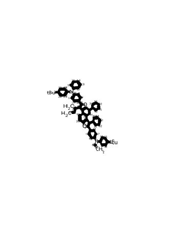 C=CC(=C)c1c(-c2ccc(N(c3ccccc3)c3ccc(C(C)(C)C)cc3)cc2)oc2c(-c3ccccc3)cc3c(ccc4oc(-c5ccc(N(C=C)c6ccc(C(C)(C)C)cc6)cc5)c(-c5ccccc5)c43)c12